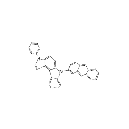 c1ccc(-n2ccc3c4c5ccccc5n(-c5ccc6cc7ccccc7cc6c5)c4ccc32)cc1